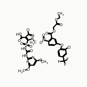 CCOC(=O)COC(=O)c1cc(Oc2ccc(C(F)(F)F)cc2Cl)ccc1[N+](=O)[O-].COc1cc(OC)nc(NC(=O)NS(=O)(=O)c2c(C(=O)O)c(Cl)nn2C)n1